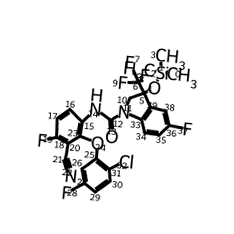 C[Si](C)(C)OC1(C(F)(F)F)CN(C(=O)Nc2ccc(F)c(C#N)c2Oc2cc(F)ccc2Cl)c2ccc(F)cc21